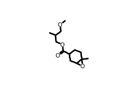 COCC(C)COC(=O)C1CCC2(C)OC2C1